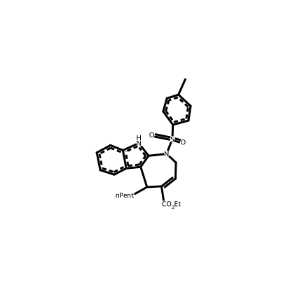 CCCCCC1C(C(=O)OCC)=CCN(S(=O)(=O)c2ccc(C)cc2)c2[nH]c3ccccc3c21